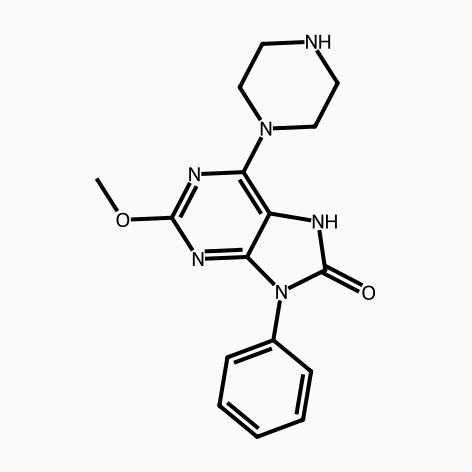 COc1nc(N2CCNCC2)c2[nH]c(=O)n(-c3ccccc3)c2n1